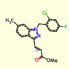 COC(=O)/C=C/c1nn(Cc2ccc(F)cc2Cl)c2cc(C)ccc12